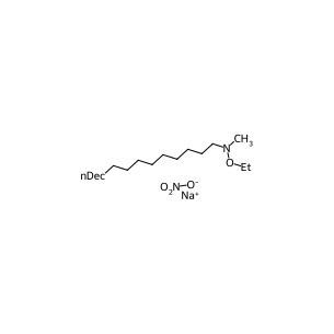 CCCCCCCCCCCCCCCCCCCN(C)OCC.O=[N+]([O-])[O-].[Na+]